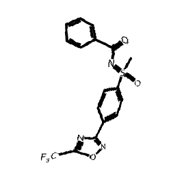 CS(=O)(=NC(=O)c1ccccc1)c1ccc(-c2noc(C(F)(F)F)n2)cc1